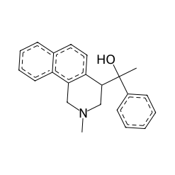 CN1Cc2c(ccc3ccccc23)C(C(C)(O)c2ccccc2)C1